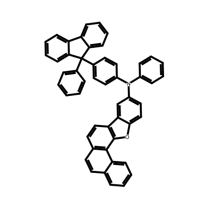 c1ccc(N(c2ccc(C3(c4ccccc4)c4ccccc4-c4ccccc43)cc2)c2ccc3oc4c(ccc5ccc6ccccc6c54)c3c2)cc1